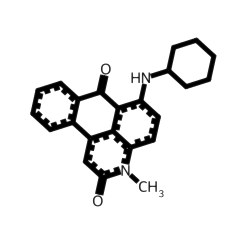 Cn1c(=O)cc2c3c(c(NC4CCCCC4)ccc31)C(=O)c1ccccc1-2